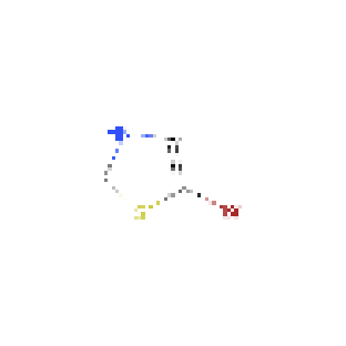 BrC1=[C]NCS1